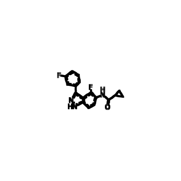 O=C(Nc1ccc2[nH]nc(-c3cccc(F)c3)c2c1F)C1CC1